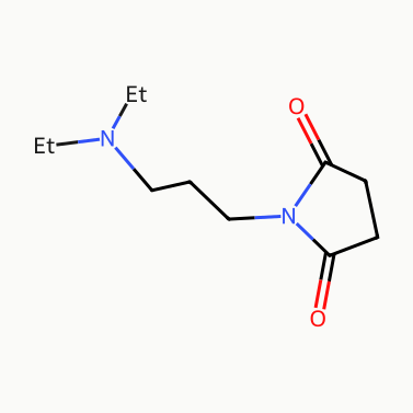 CCN(CC)CCCN1C(=O)CCC1=O